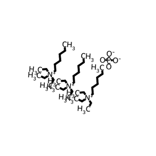 CCCCCC[N+](CC)(CC)CC.CCCCCC[N+](CC)(CC)CC.CCCCCC[N+](CC)(CC)CC.O=P([O-])([O-])[O-]